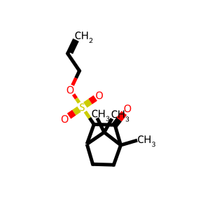 C=CCOS(=O)(=O)C1C(=O)C2(C)CCC1C2(C)C